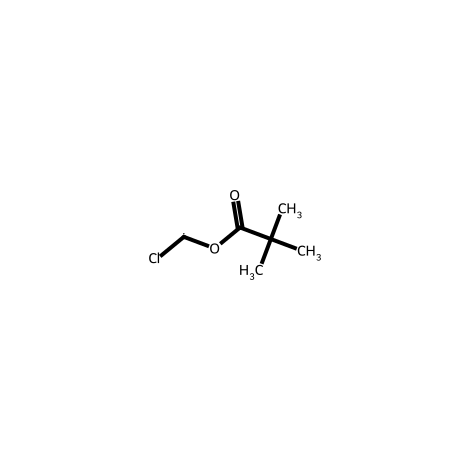 CC(C)(C)C(=O)O[CH]Cl